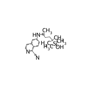 C[C@H](CCC(C)(C)[Si](C)(C)O)Nc1ccc2c(C#N)nccc2c1